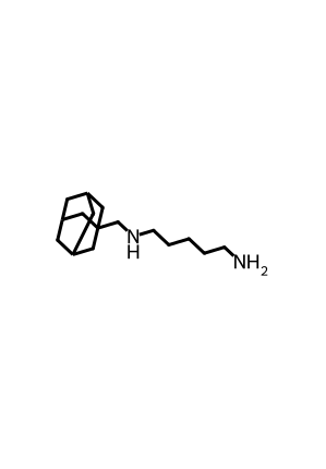 NCCCCCNCC12CC3CC(CC(C3)C1)C2